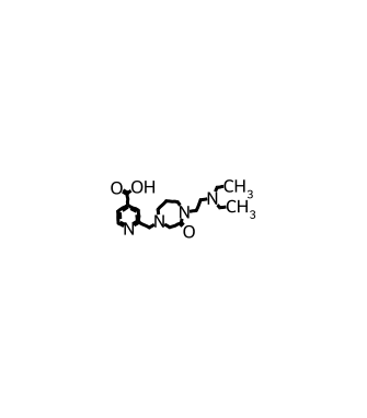 CCN(CC)CCN1CCCN(Cc2cc(C(=O)O)ccn2)CC1=O